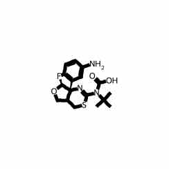 C[C@@H]1OCC2CSC(N(C(=O)O)C(C)(C)C)=N[C@]21c1cc(N)ccc1F